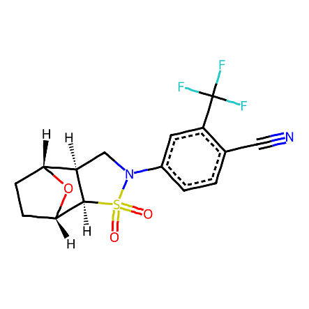 N#Cc1ccc(N2C[C@H]3[C@H]([C@@H]4CC[C@H]3O4)S2(=O)=O)cc1C(F)(F)F